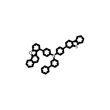 c1ccc(-c2cccc(N(c3ccc(-c4ccc5c(c4)sc4ccccc45)cc3)c3ccc(-c4cccc5oc6c7ccccc7ccc6c45)cc3)c2)cc1